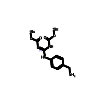 CC(C)(C)OC(=O)/N=C(\NC(=O)OC(C)(C)C)Nc1ccc(CN)cc1